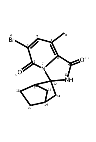 Cc1cc(Br)c(=O)n2c1C(=O)NC21CC2CCC1C2